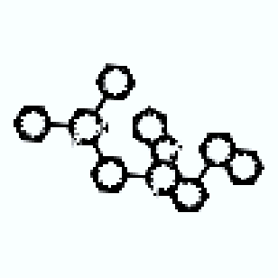 c1ccc(-c2cc(-c3ccccc3)nc(-c3cccc(-c4nc5cccc(-c6cccc7ccccc67)c5c5sc6ccccc6c45)c3)n2)cc1